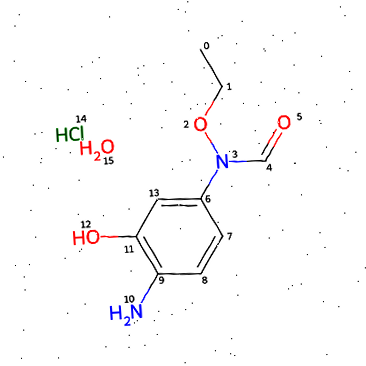 CCON(C=O)c1ccc(N)c(O)c1.Cl.O